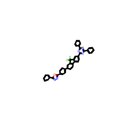 FC1(F)c2cc(-c3ccc(-c4nnc(-c5ccccc5)o4)cc3)ccc2-c2ccc(-c3nc(-c4ccccc4)nc(-c4ccccc4)n3)cc21